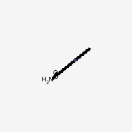 CCCCCCCCC/C=C/CCCCCCCCCCCC(=O)OCCN